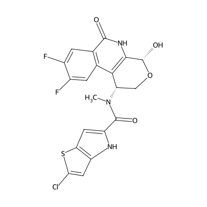 CN(C(=O)c1cc2sc(Cl)cc2[nH]1)[C@H]1CO[C@@H](O)c2[nH]c(=O)c3cc(F)c(F)cc3c21